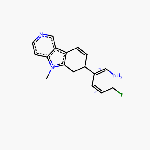 Cn1c2c(c3cnccc31)C=CC(C(/C=C\CF)=C/N)C2